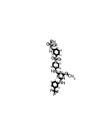 COc1nc(Nc2cccc(C(F)(F)F)c2)nc(NC2CCN(S(=O)(=O)c3cccc(NS(C)(=O)=O)c3)CC2)n1